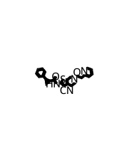 N#Cc1c(NC(=O)C2CC2c2ccccc2)sc2c1CCN(C(=O)Cc1ccccn1)C2